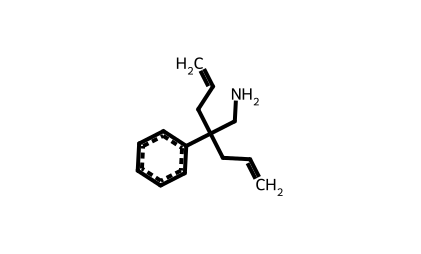 C=CCC(CN)(CC=C)c1ccccc1